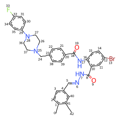 Cc1ccc(C=NNC(=O)c2cc(Br)ccc2NC(=O)c2ccc(CN3CCN(c4ccc(F)cc4)CC3)cc2)cc1C